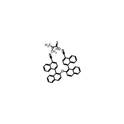 CN(C)C(O)=S.N#Cc1ccc(-c2c(Oc3ccc4ccccc4c3-c3ccc(C#N)c4ccccc34)ccc3ccccc23)c2ccccc12